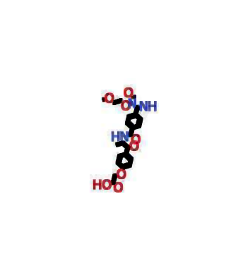 COCCON(C=O)C(=N)c1ccc(C(=O)NC(C)C(=O)c2ccc(OCC(=O)O)cc2)cc1